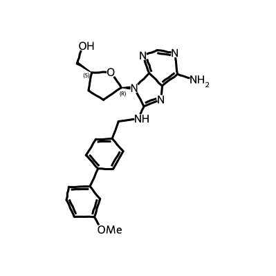 COc1cccc(-c2ccc(CNc3nc4c(N)ncnc4n3[C@H]3CC[C@@H](CO)O3)cc2)c1